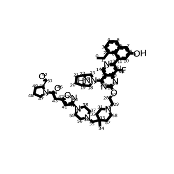 CCc1cccc2cc(O)cc(-c3ncc4c(N5CC6CCC(C5)N6)nc(OCCN5CCC(C)(CN6CCN(c7cc(CC(=O)N8CCC[C@H]8C=O)on7)CC6)CC5)nc4c3F)c12